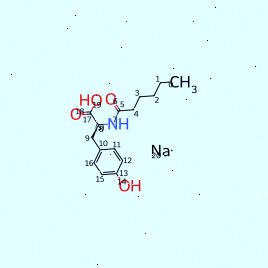 CCCCCC(=O)N[C@@H](Cc1ccc(O)cc1)C(=O)O.[Na]